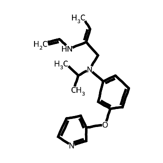 C=CN/C(=C\C)CN(c1cccc(Oc2cccnc2)c1)C(C)C